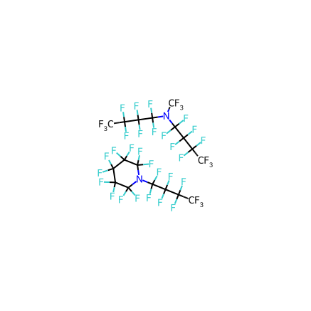 FC(F)(F)C(F)(F)C(F)(F)C(F)(F)N1C(F)(F)C(F)(F)C(F)(F)C(F)(F)C1(F)F.FC(F)(F)N(C(F)(F)C(F)(F)C(F)(F)C(F)(F)F)C(F)(F)C(F)(F)C(F)(F)C(F)(F)F